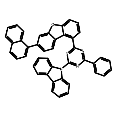 c1ccc(-c2nc(-c3cccc4oc5cc(-c6cccc7ccccc67)ccc5c34)nc(-n3c4ccccc4c4ccccc43)n2)cc1